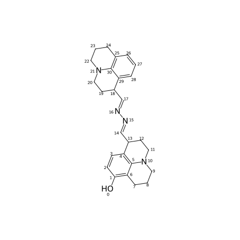 Oc1ccc2c3c1CCCN3CCC2C=NN=CC1CCN2CCCc3cccc1c32